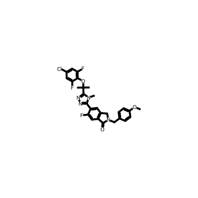 COc1ccc(CN2Cc3cc(-c4nnc(C(C)(C)Oc5c(F)cc(Cl)cc5F)n4C)c(F)cc3C2=O)cc1